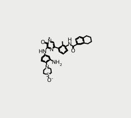 Cc1c(NC(=O)c2ccc3c(c2)CCCC3)cccc1-c1cn(C)c(=O)c(Nc2ccc(N3CC[S+]([O-])CC3)c(N)c2)n1